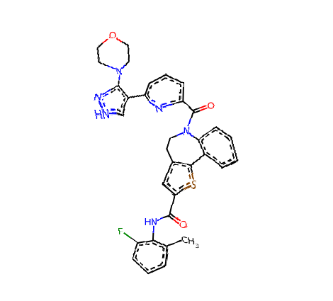 Cc1cccc(F)c1NC(=O)c1cc2c(s1)-c1ccccc1N(C(=O)c1cccc(-c3c[nH]nc3N3CCOCC3)n1)CC2